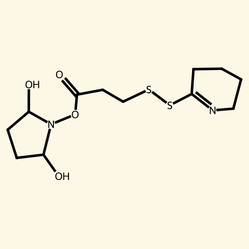 O=C(CCSSC1=NCCCC1)ON1C(O)CCC1O